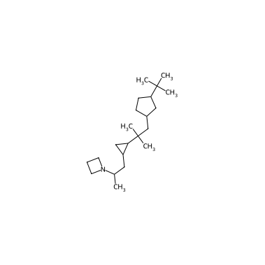 CC(CC1CC1C(C)(C)CC1CCC(C(C)(C)C)C1)N1CCC1